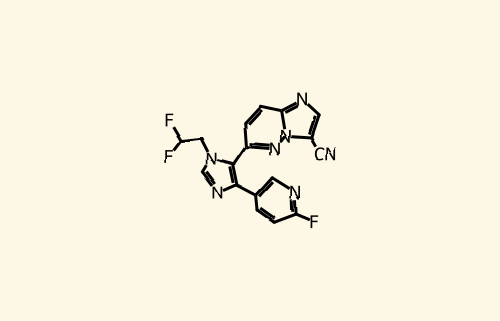 N#Cc1cnc2ccc(-c3c(-c4ccc(F)nc4)ncn3CC(F)F)nn12